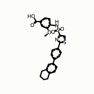 COc1cc(C(=O)O)ccc1NS(=O)(=O)c1csc(-c2ccc(-c3ccc4c(c3)CCCC4)cc2)n1